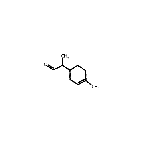 CC1=CCC(C(C)C=O)CC1